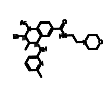 CC[C@H]1C(C)[C@@H](Nc2cccc(C)n2)c2cc(C(=O)NCCN3CCOCC3)ccc2N1C(C)=O